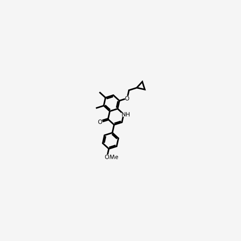 COc1ccc(-c2c[nH]c3c(OCC4CC4)cc(C)c(C)c3c2=O)cc1